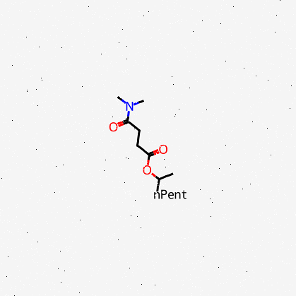 CCCCCC(C)OC(=O)CCC(=O)N(C)C